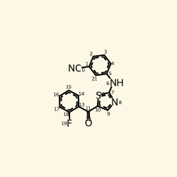 N#Cc1cccc(Nc2ncc(C(=O)c3ccccc3F)s2)c1